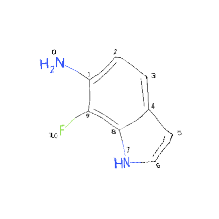 Nc1ccc2cc[nH]c2c1F